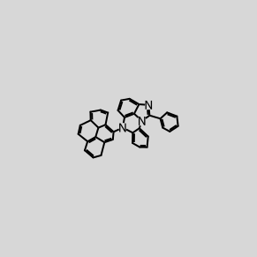 C1=CC2=C(N3c4ccccc4-n4c(-c5ccccc5)nc5cccc3c54)C=C3CC=CC4=C3C2C(=C1)C=C4